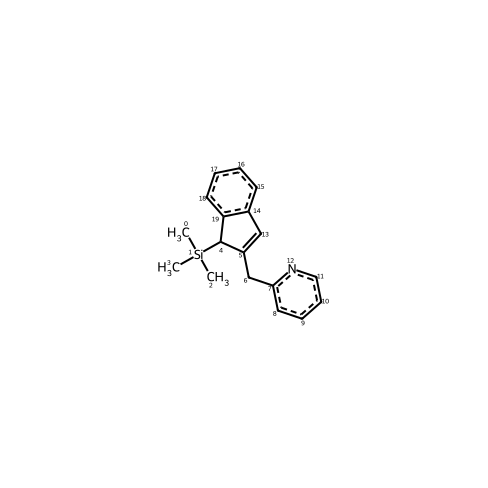 C[Si](C)(C)C1C(Cc2ccccn2)=Cc2ccccc21